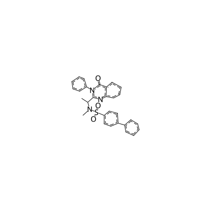 CC(c1nc2ccccc2c(=O)n1-c1ccccc1)N(C)S(=O)(=O)c1ccc(-c2ccccc2)cc1